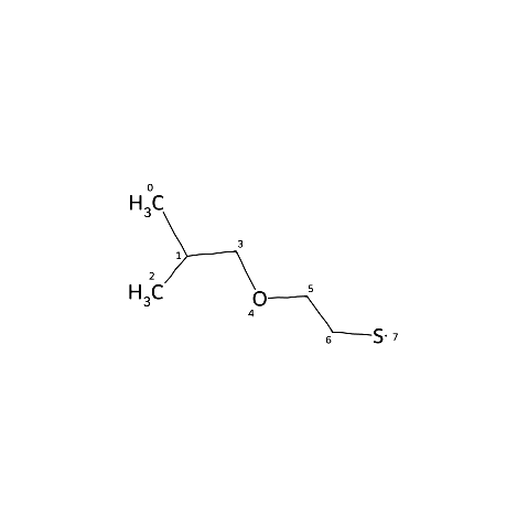 CC(C)COCC[S]